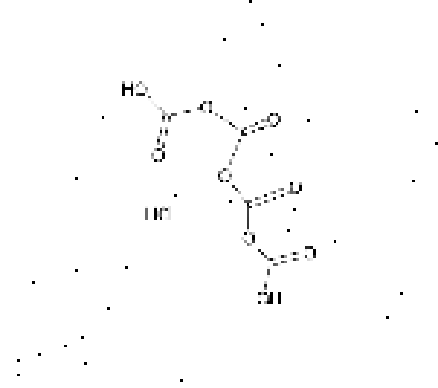 Cl.O=C(O)OC(=O)OC(=O)OC(=O)O